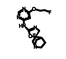 FCCOc1cc(NC2=NC[C@@]3(CN4CCC3CC4)O2)ncn1